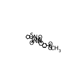 COC(=O)c1ccc2c(c1)CN(C(=O)c1nc3sc4c(c3c(=O)[nH]1)CCC4)CC2